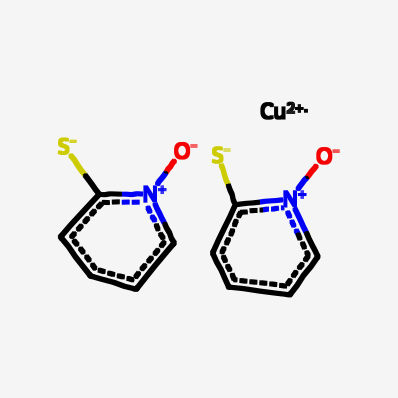 [Cu+2].[O-][n+]1ccccc1[S-].[O-][n+]1ccccc1[S-]